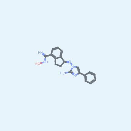 N=C(NO)c1cccc2c1CC/C2=N\n1cc(-c2ccccc2)nc1N